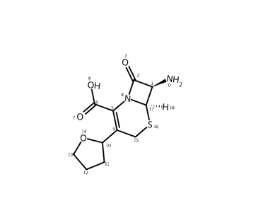 N[C@@H]1C(=O)N2C(C(=O)O)=C(C3CCCO3)CS[C@H]12